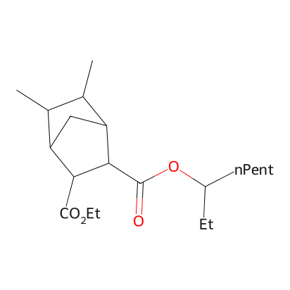 CCCCCC(CC)OC(=O)C1C2CC(C(C)C2C)C1C(=O)OCC